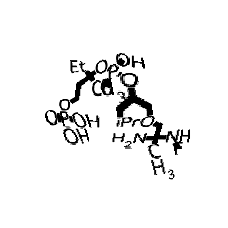 CCC(C)(CCOP(=O)(O)O)OP(=O)(O)OC(COCC(C)(N)NF)CC(C)C